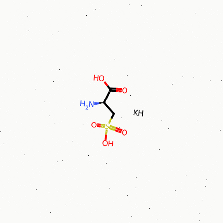 N[C@H](CS(=O)(=O)O)C(=O)O.[KH]